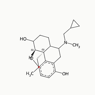 CCC[C@@]12c3c4ccc(O)c3CC(N(C)CC3CC3)C1CCC(O)[C@H]2O4